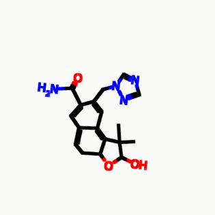 CC1(C)C2=c3cc(Cn4cncn4)c(C(N)=O)cc3=CCC2OC1O